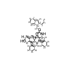 C/C=C\C1=C(C)c2ccccc2C1COC(=O)NC(Cc1ccccc1)C(=O)NC(Cc1ccccc1)C(=O)NC(CO)C(N)=O